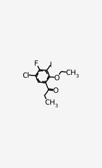 CCOc1c(C(=O)CC)cc(Cl)c(F)c1I